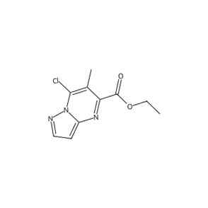 CCOC(=O)c1nc2ccnn2c(Cl)c1C